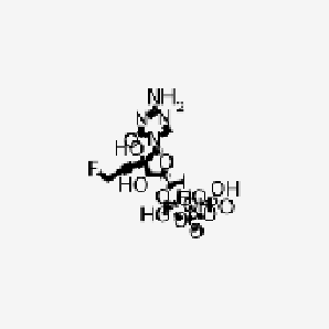 Nc1ncn([C@@H]2O[C@H](C(I)OP(=O)(O)OP(=O)(O)OP(=O)(O)O)C(O)[C@]2(O)C#CCF)c(=O)n1